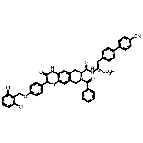 N#Cc1ccc(-c2ccc(C[C@H](NC(=O)C3Cc4cc5c(cc4CN3C(=O)c3ccccc3)OC(c3ccc(OCc4c(Cl)cccc4Cl)cc3)C(=O)N5)C(=O)O)cc2)cc1